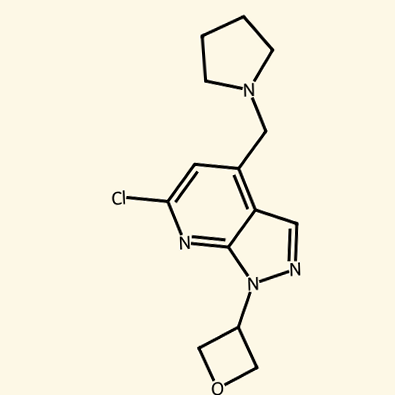 Clc1cc(CN2CCCC2)c2cnn(C3COC3)c2n1